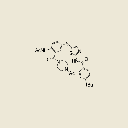 CC(=O)Nc1ccc(Sc2cnc(NC(=O)c3ccc(C(C)(C)C)cc3)s2)cc1C(=O)N1CCN(C(C)=O)CC1